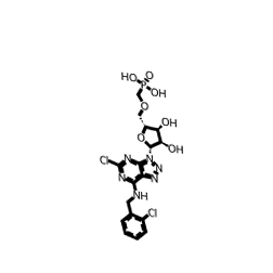 O=P(O)(O)COC[C@H]1O[C@@H](n2nnc3c(NCc4ccccc4Cl)nc(Cl)nc32)[C@H](O)[C@@H]1O